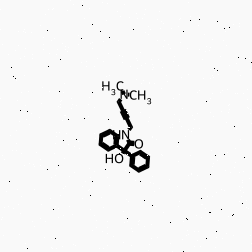 CN(C)CC#CCNC(=O)C(O)(c1ccccc1)c1ccccc1